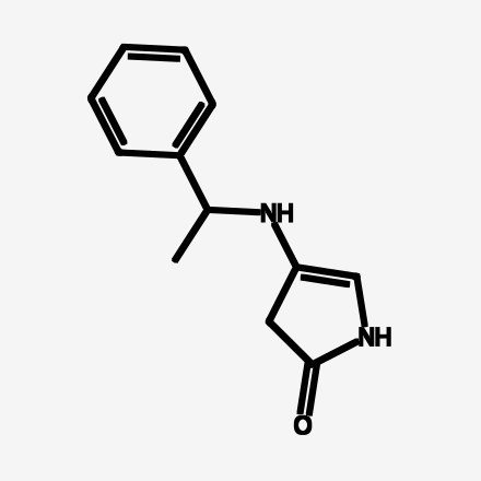 CC(NC1=CNC(=O)C1)c1ccccc1